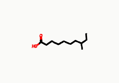 CCC(C)CCCCCCC(=O)O